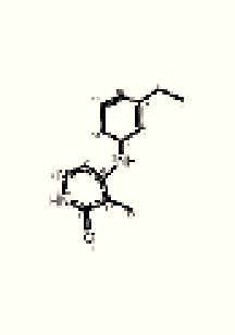 CCC1=CC(Nc2cn[nH]c(=O)c2C)CC=C1